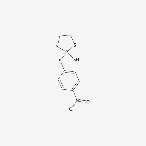 O=[N+]([O-])c1ccc(S[P]2(S)SCCS2)cc1